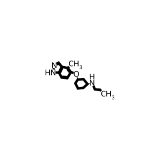 CCCN[C@@H]1CCC[C@H](Oc2ccc3[nH]ncc3c2C)C1